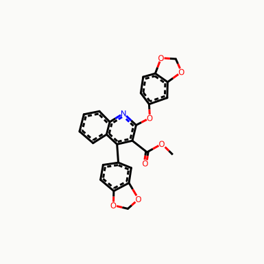 COC(=O)c1c(Oc2ccc3c(c2)OCO3)nc2ccccc2c1-c1ccc2c(c1)OCO2